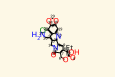 CC[C@@]1(O)C(=O)OCc2c1cc1n(c2=O)Cc2c-1nc1cc3c(c(Cl)c1c2CN)OCO3